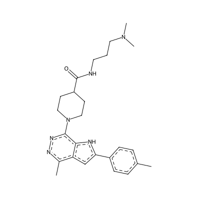 Cc1ccc(-c2cc3c(C)nnc(N4CCC(C(=O)NCCCN(C)C)CC4)c3[nH]2)cc1